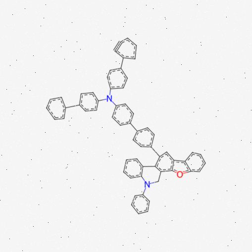 c1cccc(-c2ccc(N(c3ccc(-c4ccccc4)cc3)c3ccc(-c4ccc(-c5cc6c(oc7ccccc76)c6c5-c5ccccc5N(c5ccccc5)C6)cc4)cc3)cc2)c#1